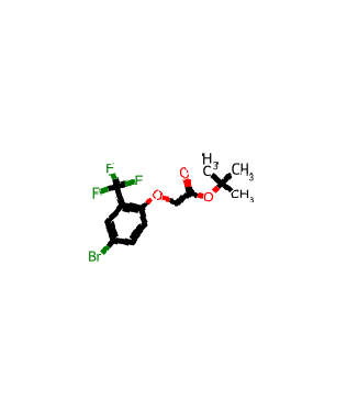 CC(C)(C)OC(=O)COc1ccc(Br)cc1C(F)(F)F